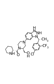 C[C@H](c1ccc(Cl)cc1C(F)(F)F)N1NNc2ccc(N3CCN(C(=O)[C@H]4CCCCN4)[C@H](CO)C3)cc21